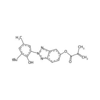 C=C(C)C(=O)Oc1ccc2nn(-c3cc(C)cc(C(C)(C)C)c3O)nc2c1